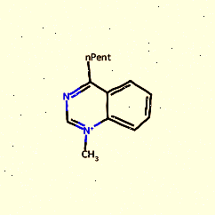 CCCCCc1nc[n+](C)c2ccccc12